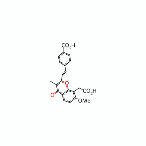 COc1ccc2c(=O)c(C)c(/C=C/c3ccc(C(=O)O)cc3)oc2c1CC(=O)O